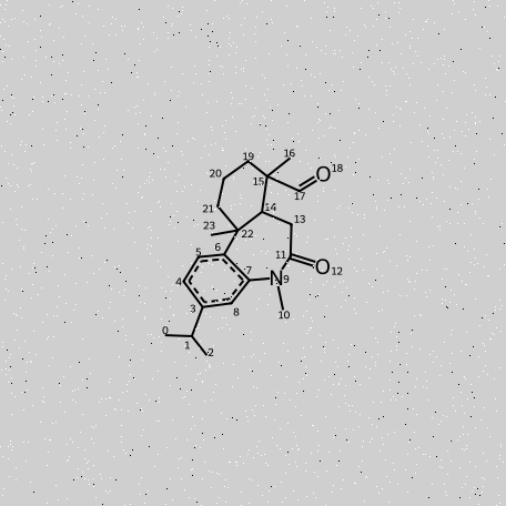 CC(C)c1ccc2c(c1)N(C)C(=O)CC1C(C)(C=O)CCCC21C